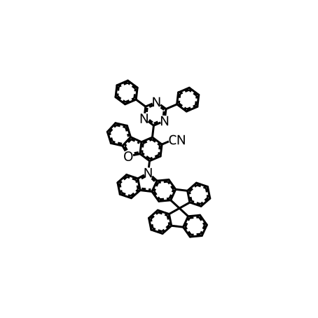 N#Cc1cc(-n2c3ccccc3c3cc4c(cc32)-c2ccccc2C42c3ccccc3-c3ccccc32)c2oc3ccccc3c2c1-c1nc(-c2ccccc2)nc(-c2ccccc2)n1